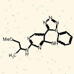 COCC(C)Nc1ncc2c(n1)Nc1ccccc1-n1nnnc1-2